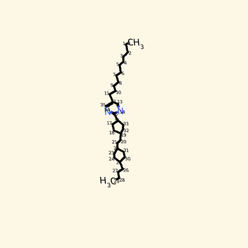 CCCCCCCCCCCCc1cnc(C2CCC(CCC3CCC(CCCC)CC3)CC2)nc1